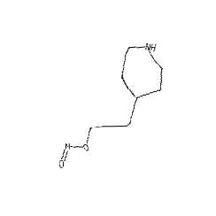 O=NOCCC1CCNCC1